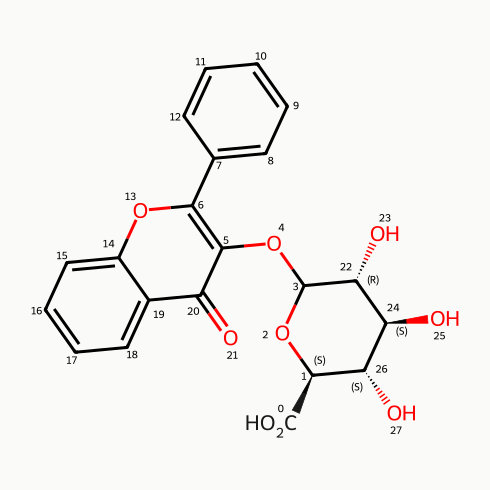 O=C(O)[C@H]1OC(Oc2c(-c3ccccc3)oc3ccccc3c2=O)[C@H](O)[C@@H](O)[C@@H]1O